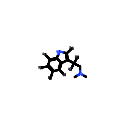 [2H]c1[nH]c2c([2H])c([2H])c([2H])c([2H])c2c1C([2H])([2H])CN(C)C